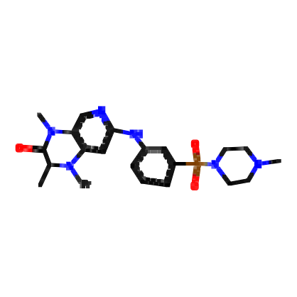 CC(C)N1c2cc(Nc3cccc(S(=O)(=O)N4CCN(C)CC4)c3)ncc2N(C)C(=O)C1C